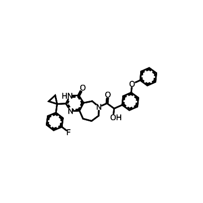 O=C(C(O)c1cccc(Oc2ccccc2)c1)N1CCCc2nc(C3(c4cccc(F)c4)CC3)[nH]c(=O)c2C1